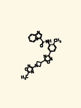 Cc1nc(N2CC(c3nc(-c4ccc(C)c(NC(=O)c5cnc6ccccn56)c4)no3)C2)no1